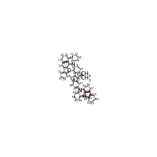 C[Si]1(C)c2ccc(N(c3ccccc3-c3ccccc3)c3cccc4c3oc3ccccc34)cc2-c2oc3ccc(N(c4ccccc4-c4ccccc4)c4cccc5c4oc4ccccc45)cc3c21